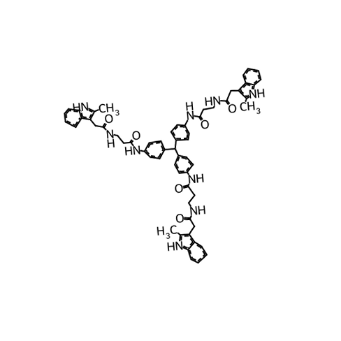 Cc1[nH]c2ccccc2c1CC(=O)NCCC(=O)Nc1ccc(C(c2ccc(NC(=O)CCNC(=O)Cc3c(C)[nH]c4ccccc34)cc2)c2ccc(NC(=O)CCNC(=O)Cc3c(C)[nH]c4ccccc34)cc2)cc1